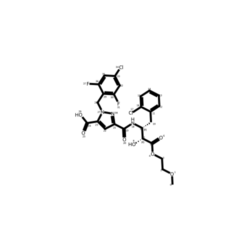 COCCOC(=O)[C@H](O)[C@@H](Cc1ccccc1Cl)NC(=O)c1cc(C(=O)O)n(Cc2c(F)cc(Cl)cc2F)n1